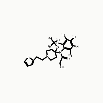 [2H]c1c([2H])c([2H])c(N(C(=O)CC)C2(OC([2H])([2H])[2H])CCN(CCc3cccs3)CC2)c([2H])c1[2H]